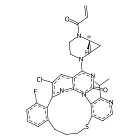 C=CC(=O)N1CCN(c2nc(=O)n3c4nc(c(Cl)cc24)-c2c(F)cccc2CCCSc2ccnc(C(C)C)c2-3)C2C[C@H]21